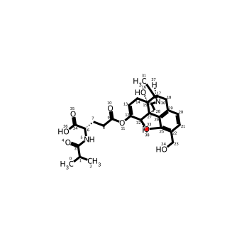 CC(C)C(=O)N[C@@H](CCC(=O)OC1=CC[C@@]2(O)[C@H]3Cc4ccc(CO)c5c4[C@@]2(CCN3C)[C@H]1O5)C(=O)O